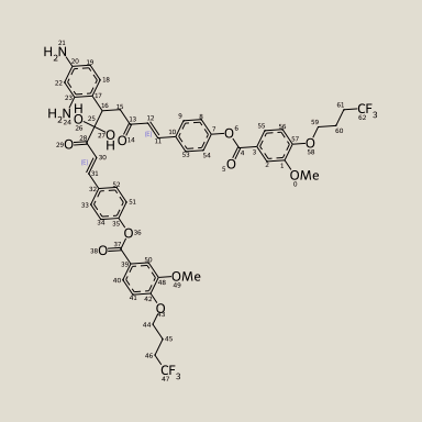 COc1cc(C(=O)Oc2ccc(/C=C/C(=O)CC(c3ccc(N)cc3N)C(O)(O)C(=O)/C=C/c3ccc(OC(=O)c4ccc(OCCCC(F)(F)F)c(OC)c4)cc3)cc2)ccc1OCCCC(F)(F)F